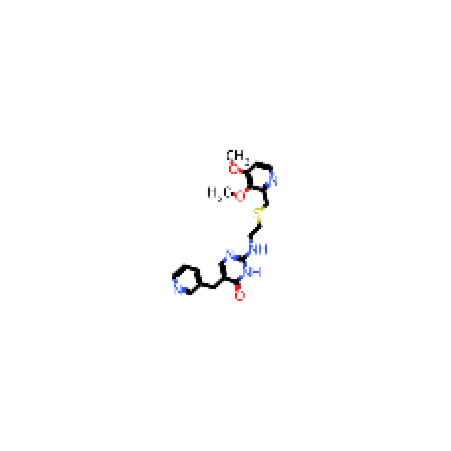 COc1ccnc(CSCCNc2ncc(Cc3cccnc3)c(=O)[nH]2)c1OC